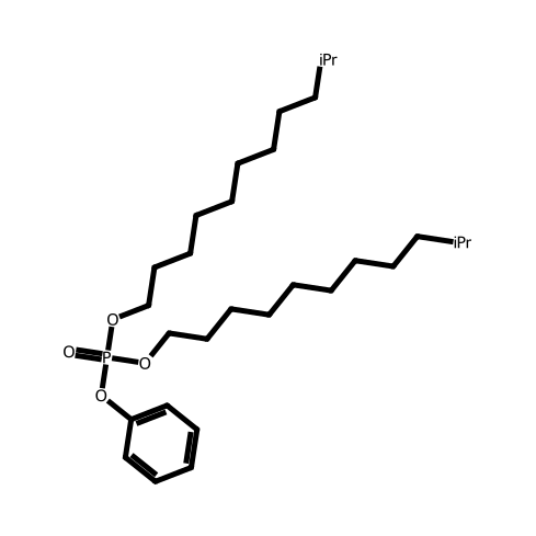 CC(C)CCCCCCCCCOP(=O)(OCCCCCCCCCC(C)C)Oc1ccccc1